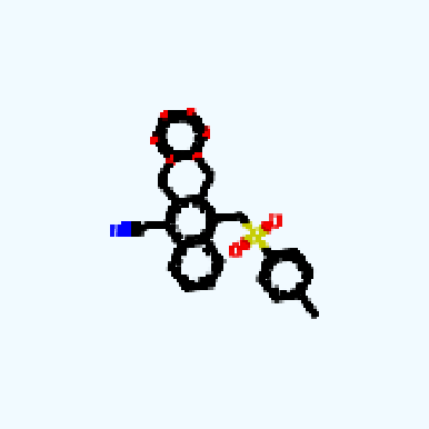 Cc1ccc(S(=O)(=O)Cc2c3c(c(C#N)c4ccccc24)C2c4ccccc4C3c3ccccc32)cc1